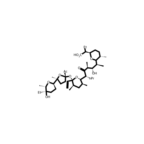 C=C[C@@]1(O[C@]2(C(C)=O)CC[C@@](C)([C@H]3CC[C@](O)(CC)[C@H](C)O3)O2)O[C@H]([C@@H](CCC)C(=O)[C@@H](C)[C@@H](O)[C@H](C)C2O[C@@H](C(CC)C(=O)O)CC[C@@H]2C)[C@@H](C)C[C@H]1C